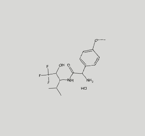 COc1ccc(C(N)C(=O)NC(C(C)C)C(O)C(F)(F)F)cc1.Cl